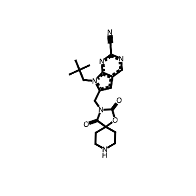 CC(C)(C)Cn1c(CN2C(=O)OC3(CCNCC3)C2=O)cc2cnc(C#N)nc21